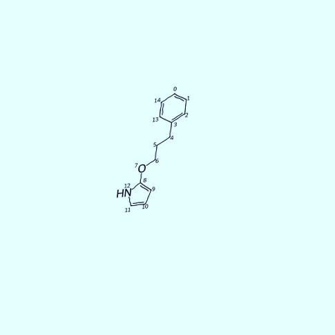 c1ccc(CCCOc2ccc[nH]2)cc1